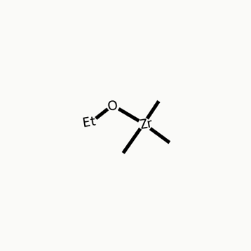 CC[O][Zr]([CH3])([CH3])[CH3]